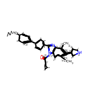 COc1ccc(-c2ccc(-c3nc4c(C)c(C5CCNC5)c(C)cc4n3C(=O)C3CC3)cc2)cc1